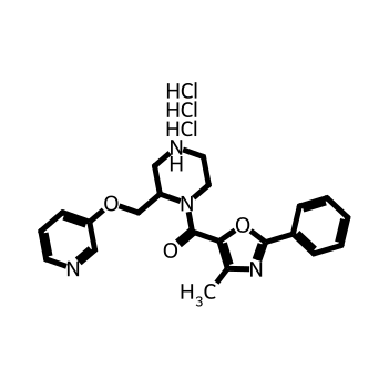 Cc1nc(-c2ccccc2)oc1C(=O)N1CCNCC1COc1cccnc1.Cl.Cl.Cl